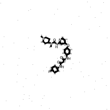 CN1CCC(N(C)C(=O)Nc2cc(Oc3ccc(NC(=O)CC(=O)Nc4ccc(F)cc4)cc3)ccn2)CC1